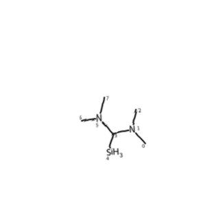 CN(C)C([SiH3])N(C)C